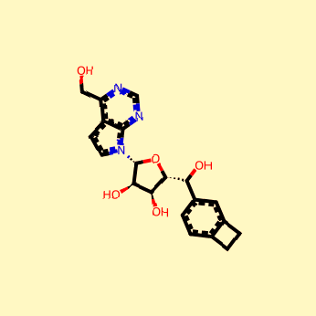 OCc1ncnc2c1ccn2[C@@H]1O[C@H](C(O)c2ccc3c(c2)CC3)[C@@H](O)[C@H]1O